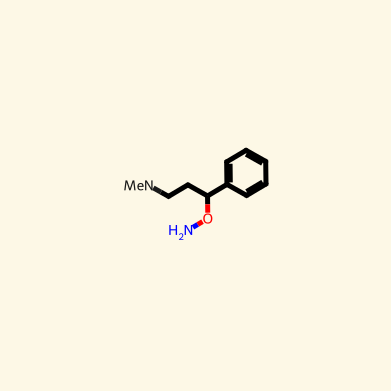 CNCCC(ON)c1ccccc1